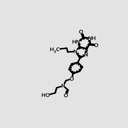 CCCn1c(-c2ccc(OCN(C=O)CCO)cc2)nc2c(=O)[nH]c(=O)[nH]c21